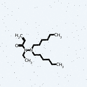 C=CC(=O)N(CC)N(CCCCCC)CCCCCC